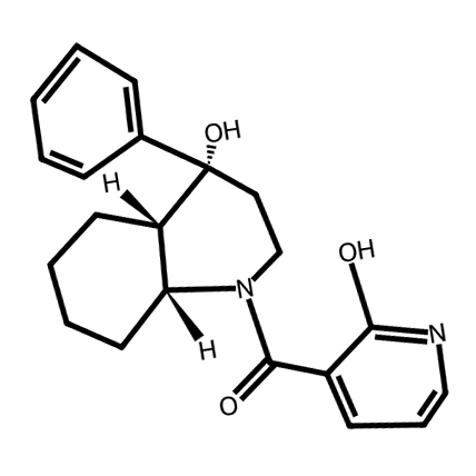 O=C(c1cccnc1O)N1CC[C@](O)(c2ccccc2)[C@H]2CCCC[C@H]21